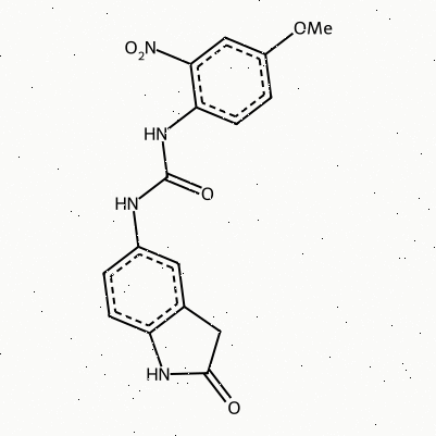 COc1ccc(NC(=O)Nc2ccc3c(c2)CC(=O)N3)c([N+](=O)[O-])c1